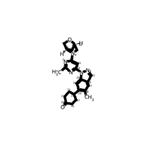 Cc1nc(N2C[C@H]3C[C@@H]2CO3)cc(-n2ncc3cc(C)c(C4CCC(=O)CC4)cc32)n1